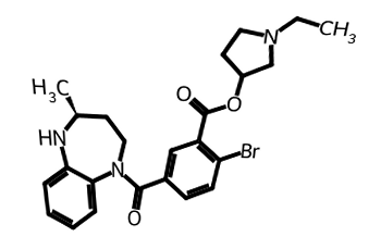 CCN1CCC(OC(=O)c2cc(C(=O)N3CC[C@H](C)Nc4ccccc43)ccc2Br)C1